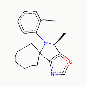 Cc1ccccc1N1[C@@H](C)c2ocnc2C12CCCCC2